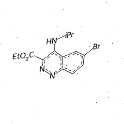 CCOC(=O)c1nnc2ccc(Br)cc2c1NC(C)C